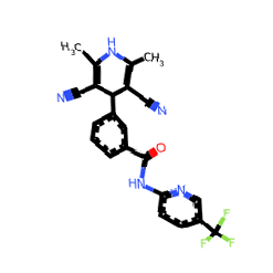 CC1=C(C#N)C(c2cccc(C(=O)Nc3ccc(C(F)(F)F)cn3)c2)C(C#N)=C(C)N1